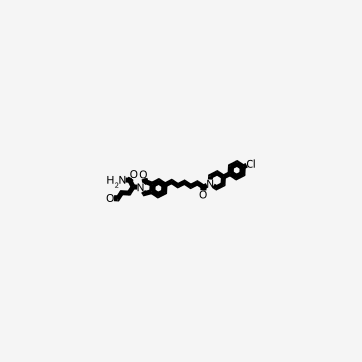 NC(=O)C(CCC=O)N1Cc2ccc(CCCCCC(=O)N3CCC(c4ccc(Cl)cc4)CC3)cc2C1=O